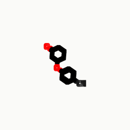 N#Cc1ccc(OC2CCCC(=O)C2)cc1